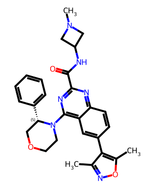 Cc1noc(C)c1-c1ccc2nc(C(=O)NC3CN(C)C3)nc(N3CCOC[C@@H]3c3ccccc3)c2c1